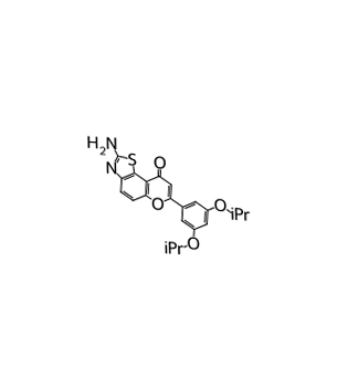 CC(C)Oc1cc(OC(C)C)cc(-c2cc(=O)c3c(ccc4nc(N)sc43)o2)c1